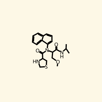 COCC(C(=O)NC(C)C)N(C(=O)C1CSCN1)c1cccc2ccccc12